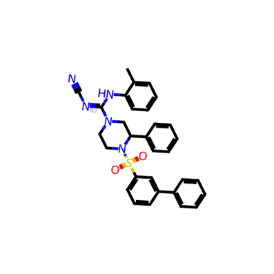 Cc1ccccc1N/C(=N\C#N)N1CCN(S(=O)(=O)c2cccc(-c3ccccc3)c2)C(c2ccccc2)C1